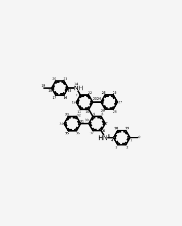 Cc1ccc(Nc2ccc(-c3ccc(Nc4ccc(C)cc4)cc3-c3ccccc3)c(-c3ccccc3)c2)cc1